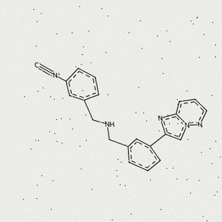 [C-]#[N+]c1cccc(CNCc2cccc(-c3cn4ncccc4n3)c2)c1